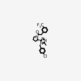 Cc1nnc([C@H]2CCCN2C(=O)Cc2cccc(C(F)(F)F)c2)n1Cc1ccc(Cl)cc1